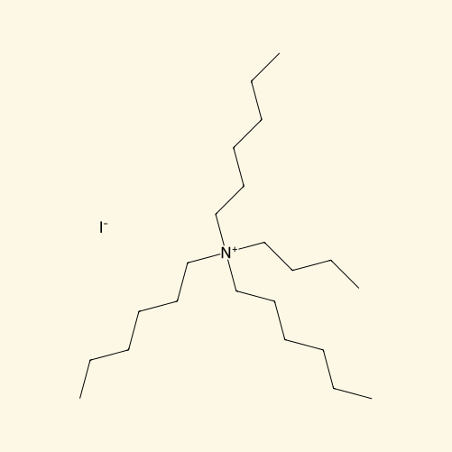 CCCCCC[N+](CCCC)(CCCCCC)CCCCCC.[I-]